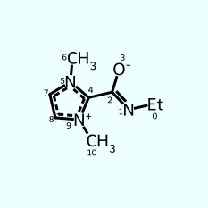 CC/N=C(\[O-])c1n(C)cc[n+]1C